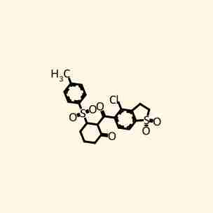 Cc1ccc(S(=O)(=O)C2CCCC(=O)C2C(=O)c2ccc3c(c2Cl)CCS3(=O)=O)cc1